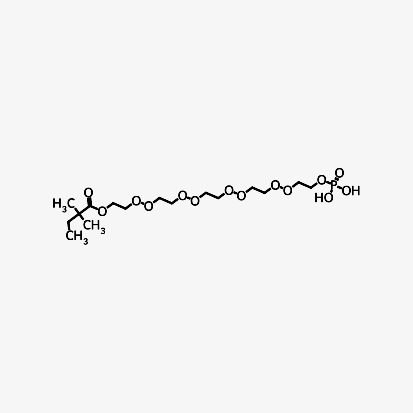 CCC(C)(C)C(=O)OCCOOCCOOCCOOCCOOCCOP(=O)(O)O